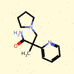 CC(CN1CCCC1)(C(N)=O)c1ccccn1